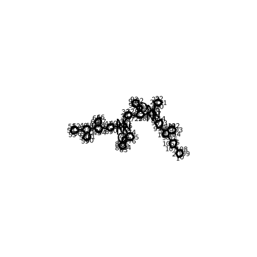 c1ccc(-c2ccc(-c3ccc(-c4ccc(-c5nc(-c6ccccc6)nc(-c6ccc(-c7cccc(-c8nc(-c9ccc(-c%10ccc(-c%11ccc(-c%12ccccc%12)c%12ccccc%11%12)c%11ccccc%10%11)cc9)nc(-c9cccc%10c9oc9ccccc9%10)n8)c7)c7c6oc6ccccc67)n5)cc4)c4ccccc34)cc2)cc1